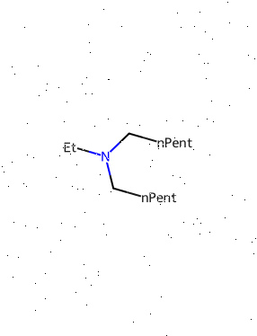 [CH2]CN(CCCCCC)CCCCCC